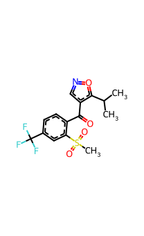 CC(C)c1oncc1C(=O)c1ccc(C(F)(F)F)cc1S(C)(=O)=O